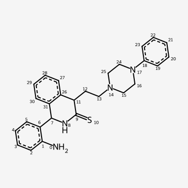 Nc1ccccc1C1NC(=S)C(CCN2CCN(c3ccccc3)CC2)c2ccccc21